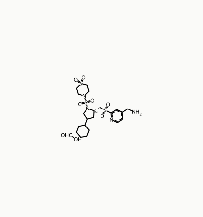 NCc1ccnc(S(=O)(=O)C[C@@H]2CC(C3CCCCC3)CN2S(=O)(=O)N2CCS(=O)(=O)CC2)c1.O=CO